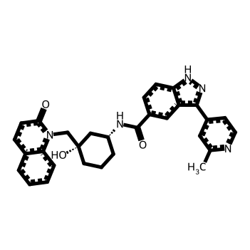 Cc1cc(-c2n[nH]c3ccc(C(=O)N[C@@H]4CCC[C@@](O)(Cn5c(=O)ccc6ccccc65)C4)cc23)ccn1